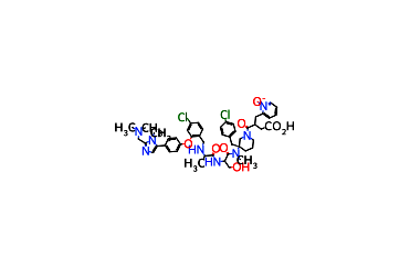 CC(NCc1ccc(Cl)cc1Oc1ccc(-c2cnc(CN(C)C)n2C)cc1)C(=O)NC(CO)C(=O)N(C)[C@@]1(Cc2ccc(Cl)cc2)CCCN(C(=O)C(CC(=O)O)Cc2cccc[n+]2[O-])C1